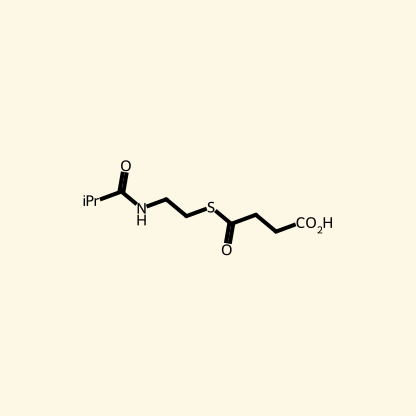 CC(C)C(=O)NCCSC(=O)CCC(=O)O